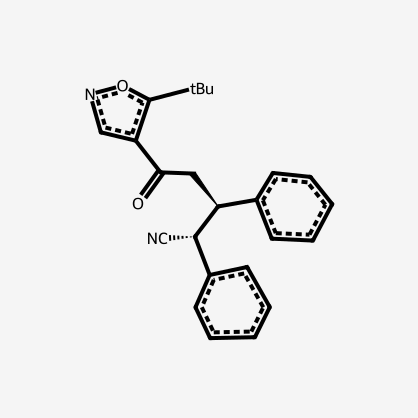 CC(C)(C)c1oncc1C(=O)C[C@@H](c1ccccc1)[C@@H](C#N)c1ccccc1